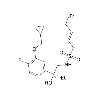 CC[C@@](O)(CNS(=O)(=O)C/C=C/CC(C)C)c1ccc(F)c(OCC2CC2)c1